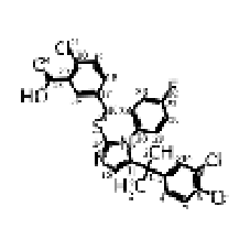 CC(C)(c1ccc(Cl)c(Cl)c1)c1cnc(SCc2ccc(Cl)c(C(=O)O)c2)n1-c1ccc(F)cc1